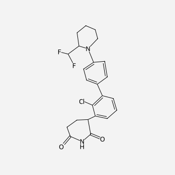 O=C1CCC(c2cccc(-c3ccc(N4CCCCC4C(F)F)cc3)c2Cl)C(=O)N1